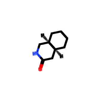 O=C1C[C@@H]2CCCC[C@@H]2CN1